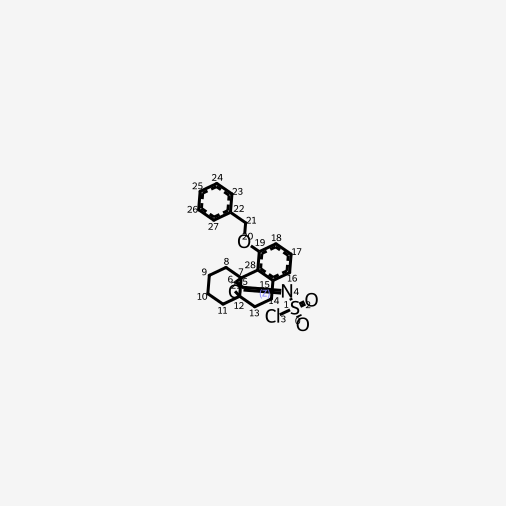 O=S(=O)(Cl)/N=C1/CC23CCCCC2(CCc2cccc(OCc4ccccc4)c23)O1